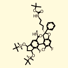 CNC(=O)c1cc2c(c(F)c1-c1c(Cl)c(F)cc3c1C[C@@](CCCCNC(=O)OC(C)(C)C)(c1ccccc1)O3)C(O[Si](C)(C)C(C)(C)C)CC2O[Si](C)(C)C(C)(C)C